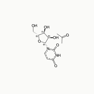 CC(C)=O.O=c1ccn([C@@H]2O[C@H](CO)[C@@H](O)[C@H]2O)c(=O)[nH]1